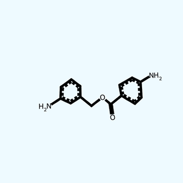 Nc1ccc(C(=O)OCc2cccc(N)c2)cc1